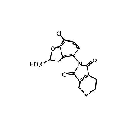 O=C(O)C1Cc2c(N3C(=O)C4=C(CCCC4)C3=O)ccc(Cl)c2O1